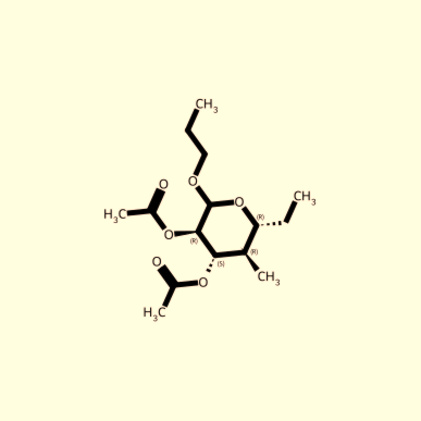 CCCOC1O[C@H](CC)[C@@H](C)[C@H](OC(C)=O)[C@H]1OC(C)=O